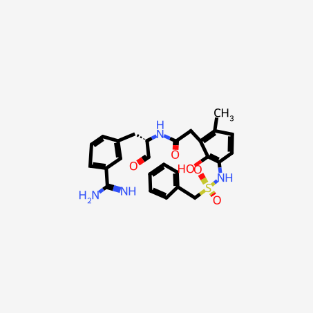 Cc1ccc(NS(=O)(=O)Cc2ccccc2)c(O)c1CC(=O)N[C@H](C=O)Cc1cccc(C(=N)N)c1